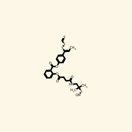 C/C=C(\SSC=S)c1ccc(OC(=O)c2ccccc2OC(=O)CCC(=O)NCC(C)(C)SN=O)cc1